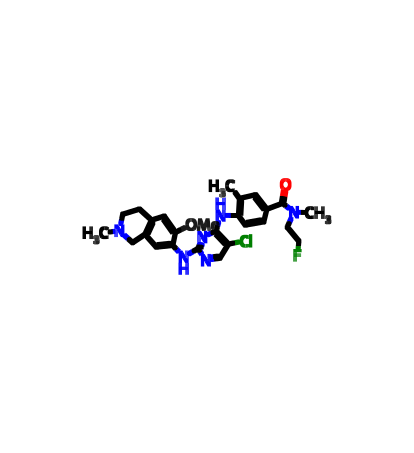 COc1cc2c(cc1Nc1ncc(Cl)c(Nc3ccc(C(=O)N(C)CCF)cc3C)n1)CN(C)CC2